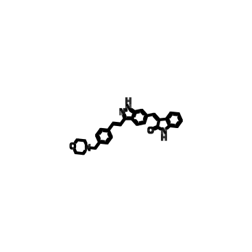 O=C1Nc2ccccc2C1=Cc1ccc2c(C=Cc3ccc(CN4CCOCC4)cc3)n[nH]c2c1